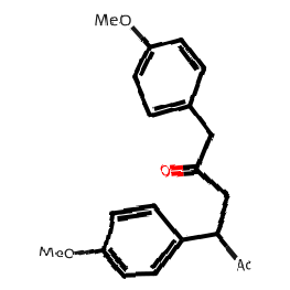 COc1ccc(CC(=O)CC(C(C)=O)c2ccc(OC)cc2)cc1